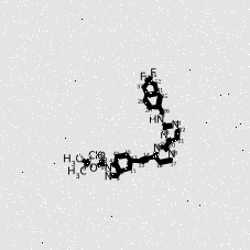 CC(C)(C)OC(=O)n1ncc2cc(C#Cc3ccnc(-c4ccnc(NCc5ccc6c(c5)CC(F)(F)C6)n4)n3)ccc21